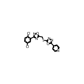 Clc1ccc(Cl)c(-c2noc(CSc3nnc(-c4ccncc4)o3)n2)c1